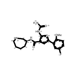 COc1ccc(F)cc1-c1cc(C(=O)N[C@H]2CCCCNC2)c(NC(N)=O)s1